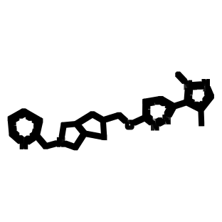 Cc1cnn(C)c1-c1ccc(OCC2CC3CN(Cc4ccccn4)CC3C2)nn1